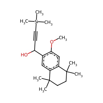 COc1cc2c(cc1C(O)C#C[Si](C)(C)C)C(C)(C)CCC2(C)C